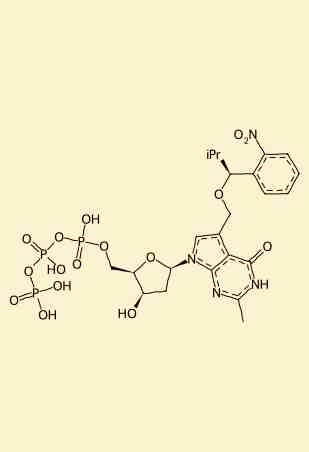 Cc1nc2c(c(CO[C@H](c3ccccc3[N+](=O)[O-])C(C)C)cn2[C@H]2C[C@@H](O)[C@@H](COP(=O)(O)OP(=O)(O)OP(=O)(O)O)O2)c(=O)[nH]1